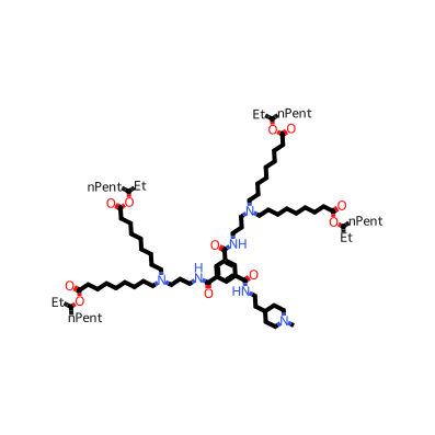 CCCCCC(CC)OC(=O)CCCCCCCCN(CCCCCCCCC(=O)OC(CC)CCCCC)CCCNC(=O)c1cc(C(=O)NCCCN(CCCCCCCCC(=O)OC(CC)CCCCC)CCCCCCCCC(=O)OC(CC)CCCCC)cc(C(=O)NCCC2CCN(C)CC2)c1